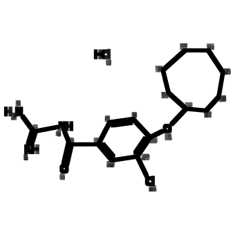 Cl.N=C(N)NC(=O)c1ccc(OC2CCCCCCC2)c(Cl)c1